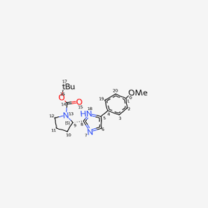 COc1ccc(-c2cnc([C@@H]3CCCN3C(=O)OC(C)(C)C)[nH]2)cc1